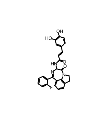 O=C(/C=C/c1ccc(O)c(O)c1)NC1N=C(c2ccccc2F)c2cccc3c2N(CC3)C1=O